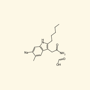 CCCCCc1[nH]c2c[c]([Na])c(C)cc2c1CC(N)=O.O=CO